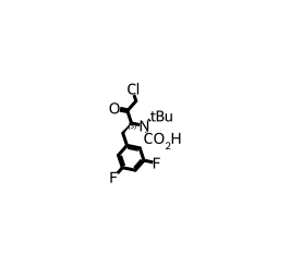 CC(C)(C)N(C(=O)O)[C@@H](Cc1cc(F)cc(F)c1)C(=O)CCl